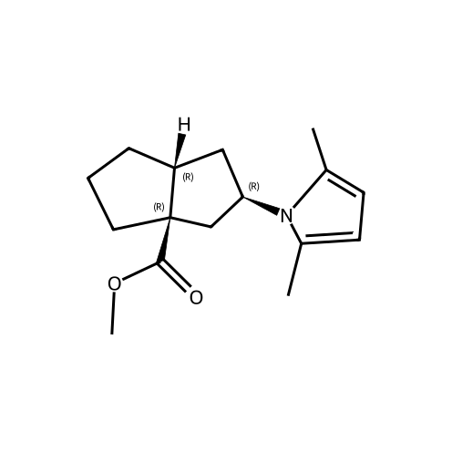 COC(=O)[C@@]12CCC[C@@H]1C[C@@H](n1c(C)ccc1C)C2